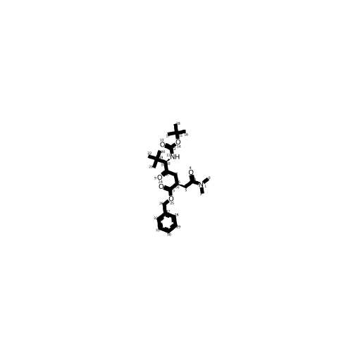 CN(C)C(=O)C[C@H](CC(=O)[C@@H](NC(=O)OC(C)(C)C)C(C)(C)C)C(=O)OCc1ccccc1